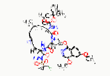 COc1ccc2c(O[C@@H]3C[C@H]4C(=O)N[C@]5(C(=O)NS(=O)(=O)C6(CF)CC6)C[C@H]5/C=C\CC[C@@H](C)C[C@@H](C)[C@H](NC(=O)OC(C)(C)C)C(=O)N4C3)ncc(OC)c2c1